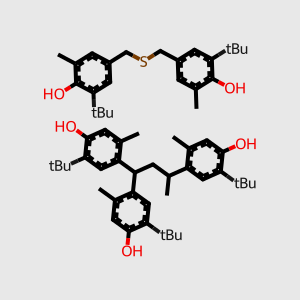 Cc1cc(CSCc2cc(C)c(O)c(C(C)(C)C)c2)cc(C(C)(C)C)c1O.Cc1cc(O)c(C(C)(C)C)cc1C(C)CC(c1cc(C(C)(C)C)c(O)cc1C)c1cc(C(C)(C)C)c(O)cc1C